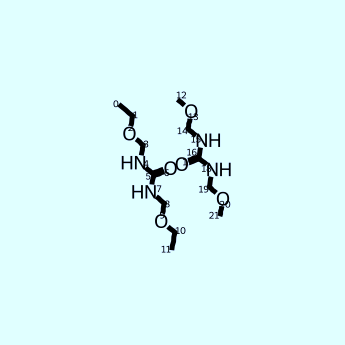 CCOCNC(=O)NCOCC.COCNC(=O)NCOC